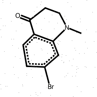 CN1CCC(=O)c2ccc(Br)cc21